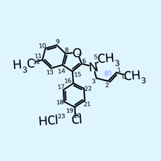 C/C=C/CN(C)c1oc2ccc(C)cc2c1-c1ccc(Cl)cc1.Cl